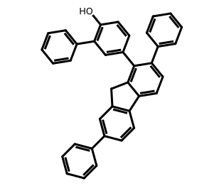 Oc1ccc(-c2c(-c3ccccc3)ccc3c2Cc2cc(-c4ccccc4)ccc2-3)cc1-c1ccccc1